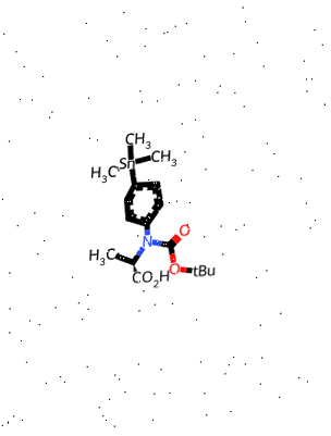 C[C@@H](C(=O)O)N(C(=O)OC(C)(C)C)c1cc[c]([Sn]([CH3])([CH3])[CH3])cc1